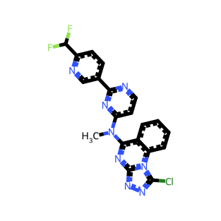 CN(c1ccnc(-c2ccc(C(F)F)nc2)n1)c1nc2nnc(Cl)n2c2ccccc12